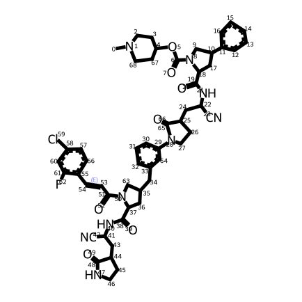 CN1CCC(OC(=O)N2CC(c3ccccc3)CC2C(=O)NC(C#N)CC2CCN(c3cccc(CC4CC(C(=O)NC(C#N)CC5CCNC5=O)N(C(=O)/C=C/c5ccc(Cl)cc5F)C4)c3)C2=O)CC1